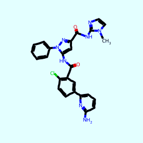 Cn1ccnc1NC(=O)c1cc(NC(=O)c2cc(-c3cccc(N)n3)ccc2Cl)n(-c2ccccc2)n1